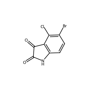 O=C1Nc2ccc(Br)c(Cl)c2C1=O